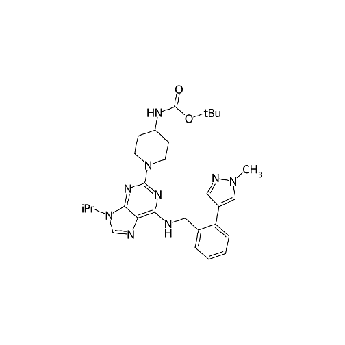 CC(C)n1cnc2c(NCc3ccccc3-c3cnn(C)c3)nc(N3CCC(NC(=O)OC(C)(C)C)CC3)nc21